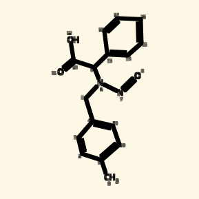 Cc1ccc(CN(N=O)C(C(=O)O)c2ccccc2)cc1